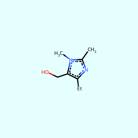 CCc1nc(C)n(C)c1CO